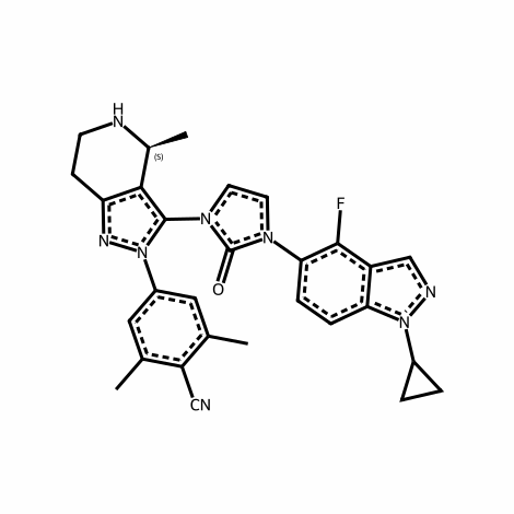 Cc1cc(-n2nc3c(c2-n2ccn(-c4ccc5c(cnn5C5CC5)c4F)c2=O)[C@H](C)NCC3)cc(C)c1C#N